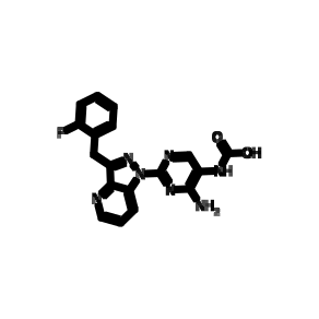 Nc1nc(-n2nc(Cc3ccccc3F)c3ncccc32)ncc1NC(=O)O